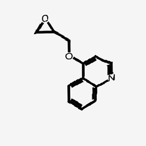 c1ccc2c(OCC3CO3)ccnc2c1